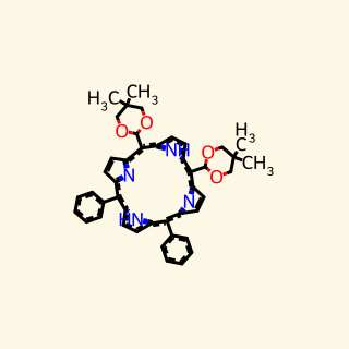 CC1(C)COC(c2c3nc(c(-c4ccccc4)c4ccc([nH]4)c(-c4ccccc4)c4nc(c(C5OCC(C)(C)CO5)c5ccc2[nH]5)C=C4)C=C3)OC1